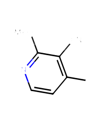 [Li][c]1ccnc(OC)c1C#N